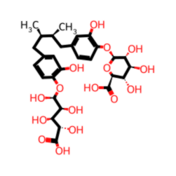 C[C@H](Cc1ccc(O[C@H](O)[C@@H](O)[C@H](O)[C@H](O)C(=O)O)c(O)c1)[C@@H](C)Cc1ccc(O[C@@H]2O[C@H](C(=O)O)[C@@H](O)[C@H](O)[C@H]2O)c(O)c1